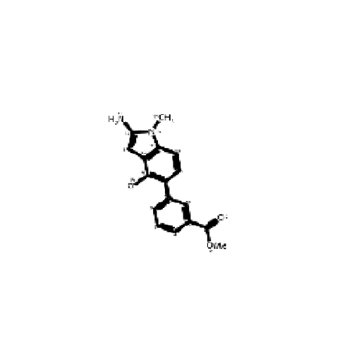 COC(=O)c1cccc(-c2ccc3c(cc(N)n3C)c2Cl)c1